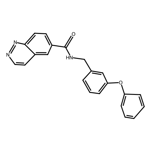 O=C(NCc1cccc(Oc2ccccc2)c1)c1ccc2nnccc2c1